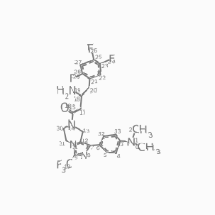 CN(C)c1ccc(-c2nc(C(F)(F)F)n3c2CN(C(=O)CC(N)Cc2cc(F)c(F)cc2F)CC3)cc1